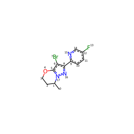 CC1CCOc2c(Br)c(-c3ccc(F)cn3)nn21